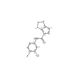 O=C(Nc1ccc(F)c(Cl)c1)c1ccc2n1CC[CH]2